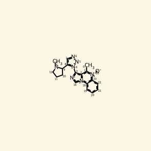 Cc1c2c(-n3nncc3C3CCCN3C)ncn2c2ccccc2[n+]1[O-]